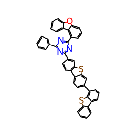 c1ccc(-c2nc(-c3ccc4c(c3)sc3cc(-c5cccc6c5sc5ccccc56)ccc34)nc(-c3cccc4oc5ccccc5c34)n2)cc1